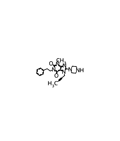 CC#CCn1c(N2CCNCC2)nc2c1c(=O)n(CCc1ccccc1)c(=O)n2C